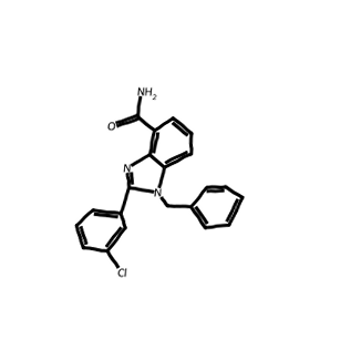 NC(=O)c1cccc2c1nc(-c1cccc(Cl)c1)n2Cc1ccccc1